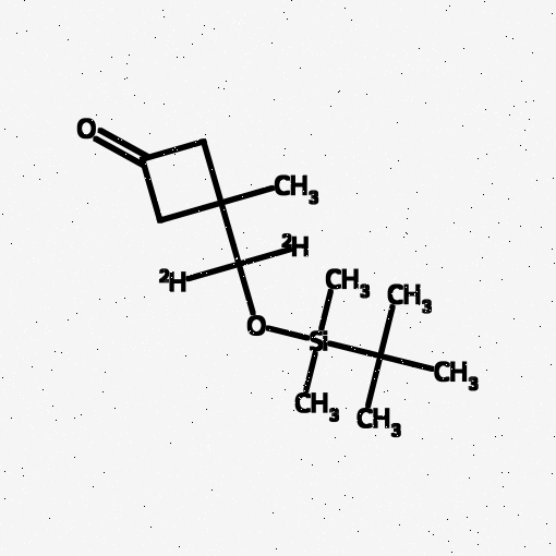 [2H]C([2H])(O[Si](C)(C)C(C)(C)C)C1(C)CC(=O)C1